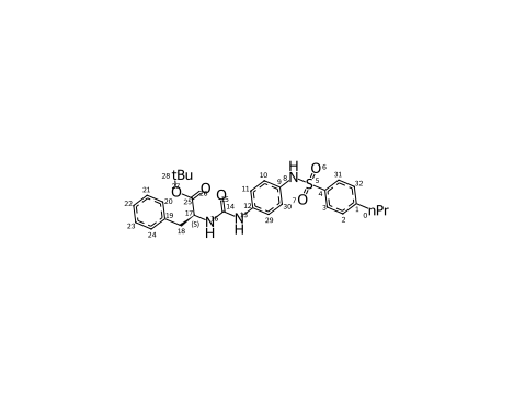 CCCc1ccc(S(=O)(=O)Nc2ccc(NC(=O)N[C@@H](Cc3ccccc3)C(=O)OC(C)(C)C)cc2)cc1